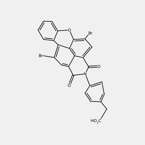 O=C(O)Cc1ccc(-n2c(=O)c3cc(Br)c4oc5ccccc5c5c(Br)cc(c2=O)c3c45)cc1